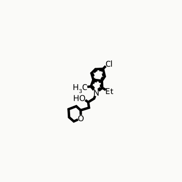 CCc1c2cc(Cl)ccc2c(C)n1CC(O)CC1CCCCO1